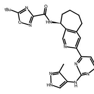 Cc1n[nH]cc1Nc1nccc(-c2cc3c(cn2)[C@@H](NC(=O)c2noc(C(C)(C)C)n2)CCCC3)n1